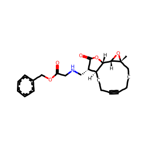 C[C@@]12CCCC#CCC[C@@H]3[C@H](OC(=O)[C@H]3CNCC(=O)OCc3ccccc3)[C@@H]1O2